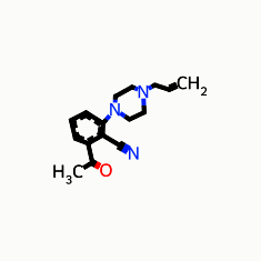 C=CCN1CCN(c2cccc(C(C)=O)c2C#N)CC1